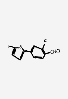 O=Cc1ccc(-c2ccc(I)s2)cc1F